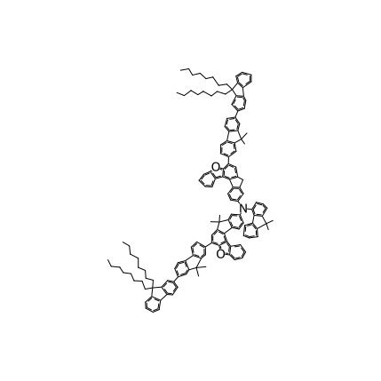 CCCCCCCCC1(CCCCCCCC)c2ccccc2-c2ccc(-c3ccc4c(c3)C(C)(C)c3cc(-c5cc6c(c7c5oc5ccccc57)-c5ccc(N(c7ccc8c(c7)C(C)(C)c7cc(-c9ccc%10c(c9)C(C)(C)c9cc(-c%11ccc%12c(c%11)C(CCCCCCCC)(CCCCCCCC)c%11ccccc%11-%12)ccc9-%10)c9oc%10ccccc%10c9c7-8)c7cccc8c7-c7ccccc7C8(C)C)cc5C6)ccc3-4)cc21